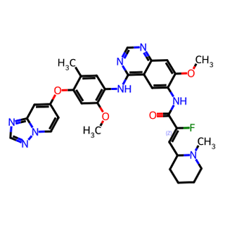 COc1cc2ncnc(Nc3cc(C)c(Oc4ccn5ncnc5c4)cc3OC)c2cc1NC(=O)/C(F)=C/C1CCCCN1C